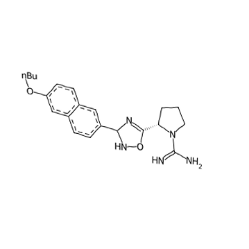 CCCCOc1ccc2cc(C3N=C([C@@H]4CCCN4C(=N)N)ON3)ccc2c1